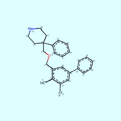 N#Cc1c(COCC2(c3ccccc3)CCNCC2)cc(-c2ccccc2)cc1C(F)(F)F